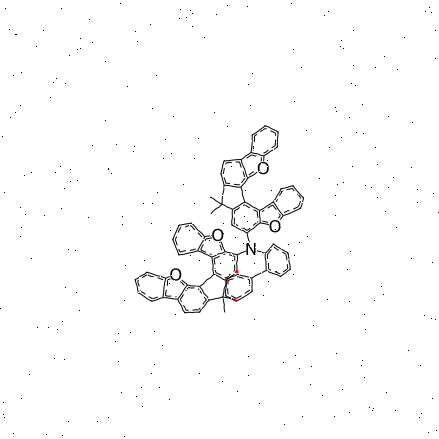 CC1(C)c2ccc3c(oc4ccccc43)c2-c2c1cc(N(c1ccccc1-c1ccccc1)c1cc3c(c4c1oc1ccccc14)-c1c(ccc4c1oc1ccccc14)C3(C)C)c1oc3ccccc3c21